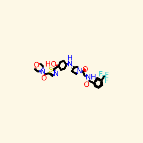 O=C(NCC(=O)N1CC[C@H](NC2CCC(O)(c3ncc(C(=O)N4CCOCC4)s3)CC2)C1)c1cccc(C(F)(F)F)c1